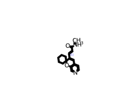 CNC(=O)/C=C/C1=Cc2ccncc2OC12CCCCC2